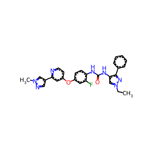 CCn1cc(NC(=O)Nc2ccc(Oc3ccnc(-c4cnn(C)c4)c3)cc2F)c(-c2ccccc2)n1